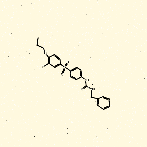 CCCOc1ccc(S(=O)(=O)c2ccc(NC(=O)NCc3cccnc3)cc2)cc1F